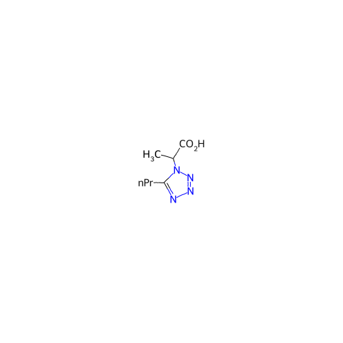 CCCc1nnnn1C(C)C(=O)O